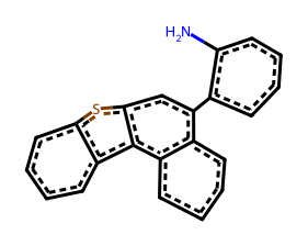 Nc1ccccc1-c1cc2sc3ccccc3c2c2ccccc12